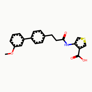 COc1cccc(-c2ccc(CCC(=O)Nc3cscc3C(=O)O)cc2)c1